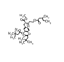 CCC(C)CC(=O)OCCN[C@@H](Cc1ccc(OC(=O)CC(C)(C)C)c(OC(=O)CC(C)(C)C)c1)C(=O)OC